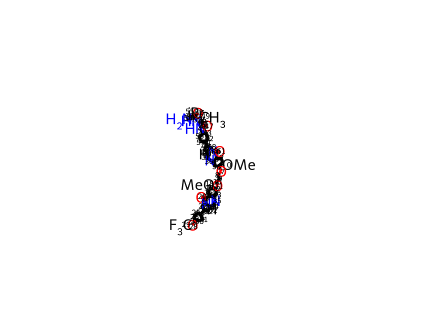 COc1cc2c(cc1OCCCOc1cc3c(cc1OC)C(=O)N1C=C(c4ccc(OC(F)(F)F)cc4)C[C@H]1C=N3)N=C[C@@H]1CC(c3ccc(NC(=O)[C@H](C)NC(=O)[C@@H](N)C(C)C)cc3)=CN1C2=O